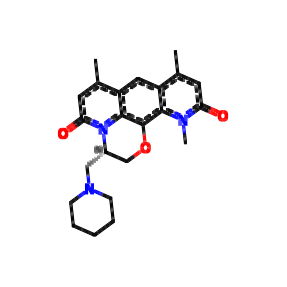 Cc1cc(=O)n(C)c2c3c4c(cc12)c(C)cc(=O)n4[C@@H](CN1CCCCC1)CO3